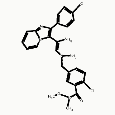 CON(C)C(=O)c1cc(CN(N)/C=C(\N)c2c(-c3ccc(Cl)cc3)nc3ccccn23)ccc1Cl